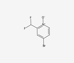 [O-][n+]1ccc(Br)cc1C(F)F